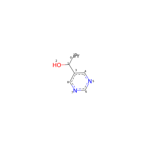 CC(C)C(O)c1cncnc1